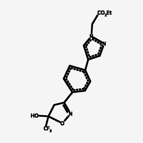 CCOC(=O)Cn1cc(-c2ccc(C3=NOC(O)(C(F)(F)F)C3)cc2)cn1